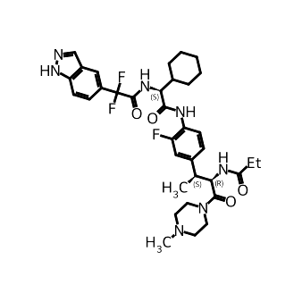 CCC(=O)N[C@@H](C(=O)N1CCN(C)CC1)[C@@H](C)c1ccc(NC(=O)[C@@H](NC(=O)C(F)(F)c2ccc3[nH]ncc3c2)C2CCCCC2)c(F)c1